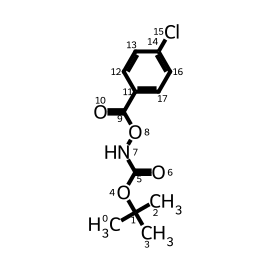 CC(C)(C)OC(=O)NOC(=O)c1ccc(Cl)cc1